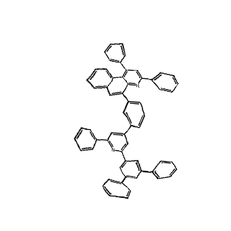 c1ccc(-c2cc(-c3ccccc3)cc(-c3cc(-c4cccc(-c5cc6ccccc6c6c(-c7ccccc7)cc(-c7ccccc7)nc56)c4)cc(-c4ccccc4)n3)c2)cc1